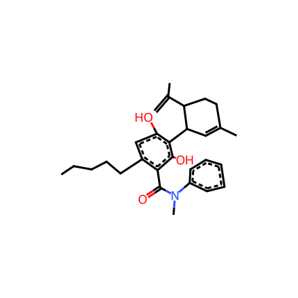 C=C(C)C1CCC(C)=CC1c1c(O)cc(CCCCC)c(C(=O)N(C)c2ccccc2)c1O